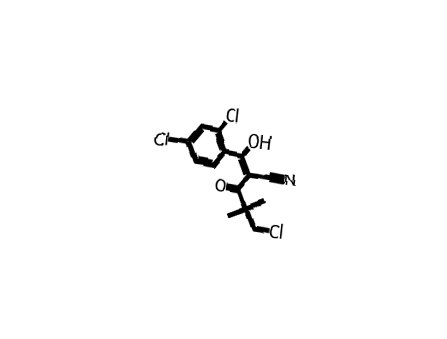 CC(C)(CCl)C(=O)C(C#N)=C(O)c1ccc(Cl)cc1Cl